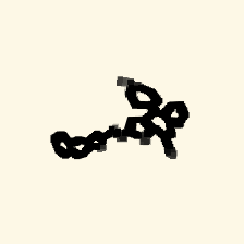 O=C1Cc2ccccc2C(=C2CCNCC2)c2cc(N=NC3=CC4C=c5ccccc5=CC=C4S3)sc21